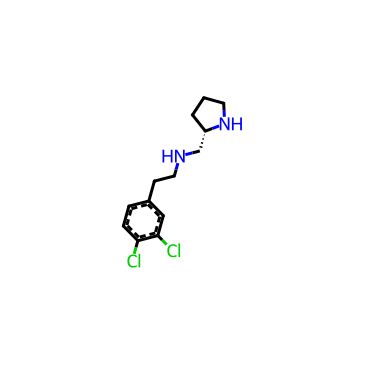 Clc1ccc(CCNC[C@@H]2CCCN2)cc1Cl